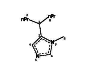 CCCC(CCC)c1cncn1C